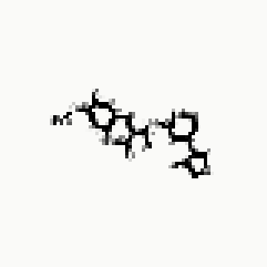 Cc1cscc1-c1ccnc(NC(C)c2cc3cc(Cl)c(OC(C)C)cc3[nH]c2=O)c1